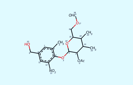 CC(=O)OC1C(Oc2c(C)cc(CO)cc2[N+](=O)[O-])OC(COC=O)C(C)C1C